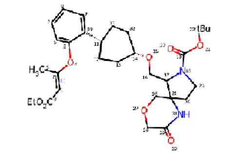 CCOC(=O)/C=C(\C)Oc1ccccc1[C@H]1CC[C@@H](OCC2N(C(=O)OC(C)(C)C)CCC23COCC(=O)N3)CC1